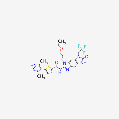 CCOCCCn1c(NC(=O)c2ccc(-c3c(C)n[nH]c3C)s2)nc2cc3[nH]c(=O)n(CC(F)(F)F)c3cc21